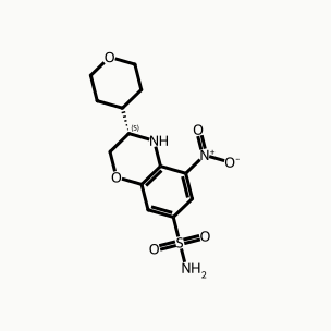 NS(=O)(=O)c1cc2c(c([N+](=O)[O-])c1)N[C@@H](C1CCOCC1)CO2